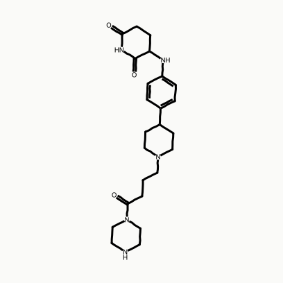 O=C1CCC(Nc2ccc(C3CCN(CCCC(=O)N4CCNCC4)CC3)cc2)C(=O)N1